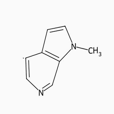 Cn1ccc2[c]cncc21